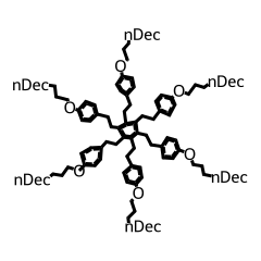 CCCCCCCCCCCCCOc1ccc(CCc2c(CCc3ccc(OCCCCCCCCCCCCC)cc3)c(CCc3ccc(OCCCCCCCCCCCCC)cc3)c(CCc3ccc(OCCCCCCCCCCCCC)cc3)c(CCc3ccc(OCCCCCCCCCCCCC)cc3)c2CCc2ccc(OCCCCCCCCCCCCC)cc2)cc1